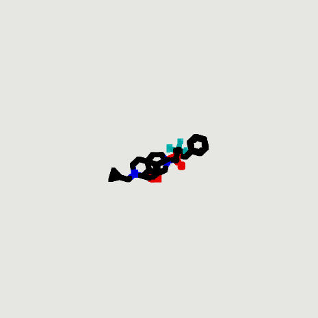 O=C(N1CCC23CCN(CC4CC4)C(Cc4ccc(OCc5ccccc5)cc42)C3(O)CC1)C(F)(F)F